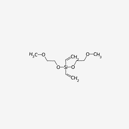 C=C[Si](C=C)(OCCOC)OCCOC